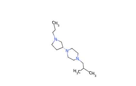 CCCN1CC[C@@H](N2CCN(CC(C)C)CC2)C1